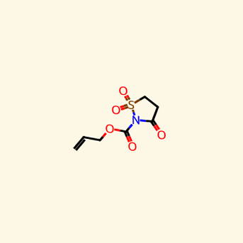 C=CCOC(=O)N1C(=O)CCS1(=O)=O